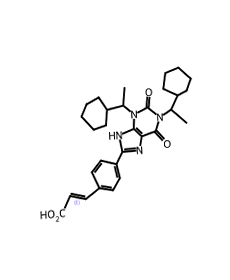 CC(C1CCCCC1)n1c(=O)c2nc(-c3ccc(/C=C/C(=O)O)cc3)[nH]c2n(C(C)C2CCCCC2)c1=O